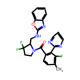 Cc1ccc(C(=O)N2CCC(F)(F)C2CNc2nc3ccccc3o2)c(-c2ncccn2)c1F